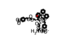 NC(=O)OCC(=O)S[C@@H]1[C@@H](CCOC(=O)OCc2ccc([N+](=O)[O-])cc2)C(=O)N1C(C(=O)OCc1ccc([N+](=O)[O-])cc1)=P(c1ccccc1)(c1ccccc1)c1ccccc1